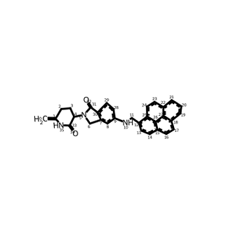 C=C1CCC(N2Cc3cc(NCc4ccc5ccc6cccc7ccc4c5c67)ccc3C2=O)C(=O)N1